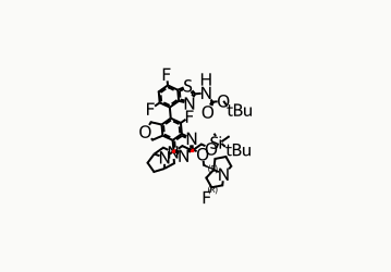 CC(C)(C)OC(=O)Nc1nc2c(-c3c4c(c5c(N6C7CCC6CN(CCCO[Si](C)(C)C(C)(C)C)C7)nc(OC[C@@]67CCCN6C[C@H](F)C7)nc5c3F)COC4)c(F)cc(F)c2s1